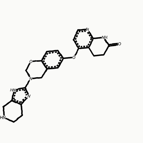 O=C1CCc2c(Oc3ccc4c(c3)CN(c3nc5c([nH]3)CNCC5)CO4)ccnc2N1